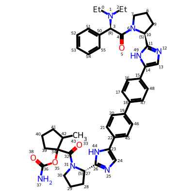 CCN(CC)[C@@H](C(=O)N1CCC[C@H]1c1ncc(-c2ccc(-c3ccc(-c4cnc([C@@H]5CCCN5C(=O)C5(OC(N)=O)CCCC5C)[nH]4)cc3)cc2)[nH]1)c1ccccc1